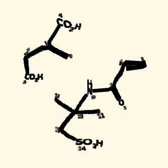 C=C(CC(=O)O)C(=O)O.C=CC(=O)NC(C)(C)CS(=O)(=O)O